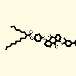 CCCCCCCCCC(CCCCCC)C(=O)Oc1ccc(Sc2cccc3c2C(=O)c2cccc(Sc4ccc(C(C)C)cc4C)c2C3=O)cc1